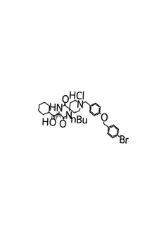 CCCCN1C(=O)[C@@H]([C@H](O)C2CCCCC2)NC(=O)C12CCN(Cc1ccc(OCc3ccc(Br)cc3)cc1)CC2.Cl